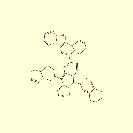 C1=CC2OC3=C(C=C(C4=CC5=C(C6CCC7CCC=CC7C6)c6ccccc6C(C6C=C7CCC=CC7=CC6)C5C=C4)C4CCC=CC34)C2C=C1